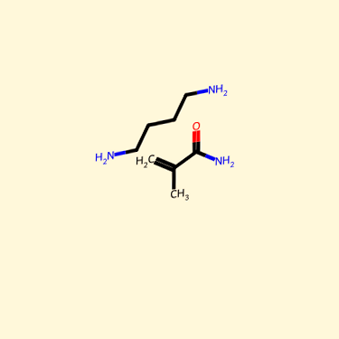 C=C(C)C(N)=O.NCCCCN